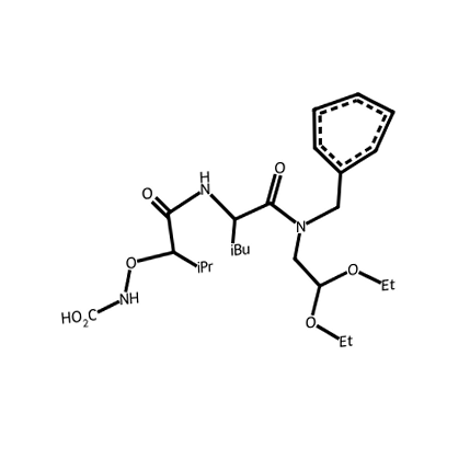 CCOC(CN(Cc1ccccc1)C(=O)C(NC(=O)C(ONC(=O)O)C(C)C)C(C)CC)OCC